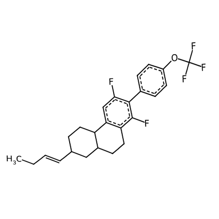 CCC=CC1CCC2c3cc(F)c(-c4ccc(OC(F)(F)F)cc4)c(F)c3CCC2C1